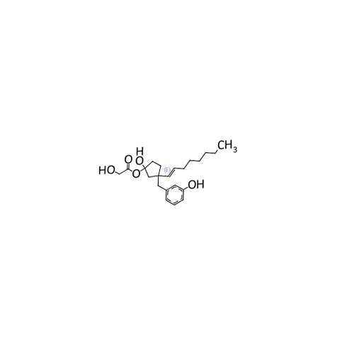 CCCCCC/C=C/C1(Cc2cccc(O)c2)CCC(O)(OC(=O)CO)C1